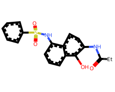 CCC(=O)Nc1ccc2c(NS(=O)(=O)c3ccccc3)cccc2c1O